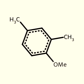 COc1ccc(C)cc1C